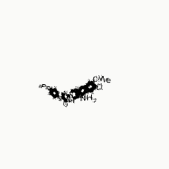 COc1cc2c(cc1Cl)[C@@H](N)C1(CCN(c3ncc(Sc4ccc(C(C)C)cc4)c(=O)[nH]3)CC1)C2